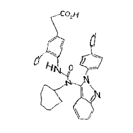 O=C(O)Cc1ccc(NC(=O)N(c2c3ccccc3nn2-c2ccc(Cl)cc2)C2CCCCC2)c(Cl)c1